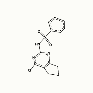 O=S(=O)(Nc1nc(Cl)c2c(n1)CCC2)c1ccccc1